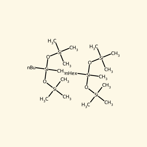 CCCCCC[Si](C)(O[Si](C)(C)C)O[Si](C)(C)C.CCCC[Si](C)(O[Si](C)(C)C)O[Si](C)(C)C